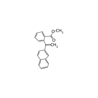 C=C(c1ccc2ccccc2c1)c1ccccc1C(=O)OC